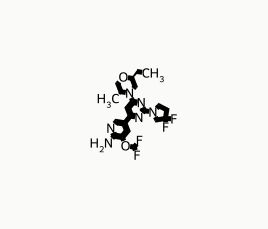 CC[C@H]1CN(c2cc(-c3cnc(N)c(OC(F)F)c3)nc(N3CCC(F)(F)C3)n2)[C@@H](C)CO1